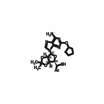 CC(=O)C(S)[C@H]1O[C@H](n2cnc3c(N)nc(OC4CCCC4)nc32)[C@@H]2OC(C)(C)O[C@@H]21